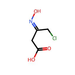 O=C(O)C/C(CCl)=N/O